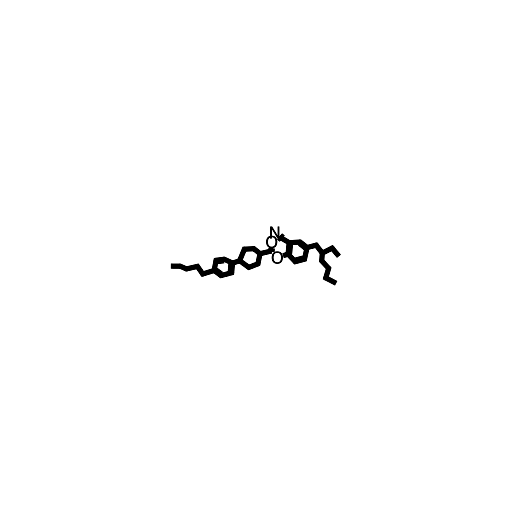 CCCCCc1ccc(C2CCC(C(=O)Oc3ccc(CC(CC)CCCC)cc3C#N)CC2)cc1